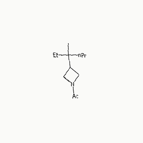 CCCC(C)(CC)C1CN(C(C)=O)C1